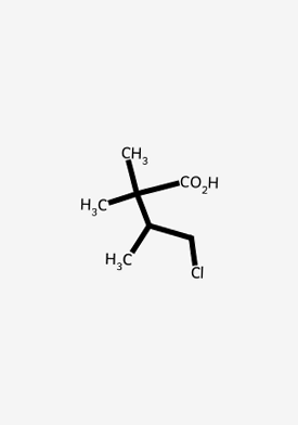 CC(CCl)C(C)(C)C(=O)O